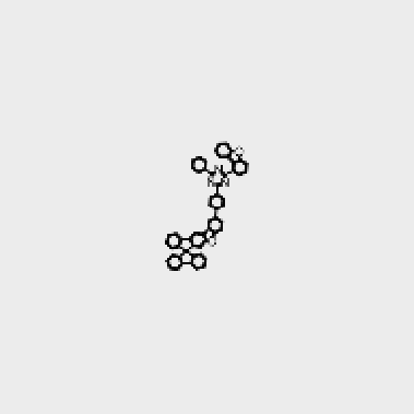 c1ccc(-c2nc(-c3ccc(-c4ccc5oc6cc7c(cc6c5c4)-c4ccccc4C74c5ccccc5-c5ccccc54)cc3)nc(-c3cccc4oc5ccccc5c34)n2)cc1